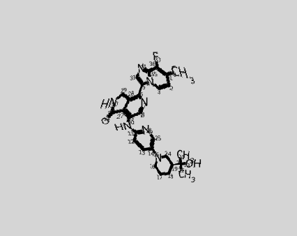 Cc1ccn2c(-c3ncc(Nc4ccc(N5CCC[C@H](C(C)(C)O)C5)cn4)c4c3CNC4=O)cnc2c1F